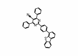 N#Cc1c(-c2ccccc2)nc(-c2ccc(-c3cccc4c3sc3ccccc34)cc2)nc1-c1ccccc1